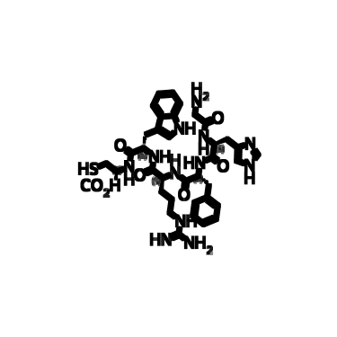 N=C(N)NCCC[C@H](NC(=O)[C@@H](Cc1ccccc1)NC(=O)[C@H](Cc1c[nH]cn1)NC(=O)CN)C(=O)N[C@@H](Cc1c[nH]c2ccccc12)C(=O)N[C@@H](CS)C(=O)O